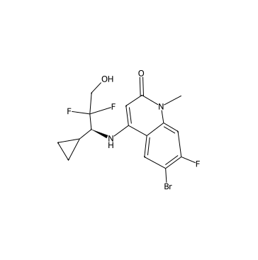 Cn1c(=O)cc(N[C@@H](C2CC2)C(F)(F)CO)c2cc(Br)c(F)cc21